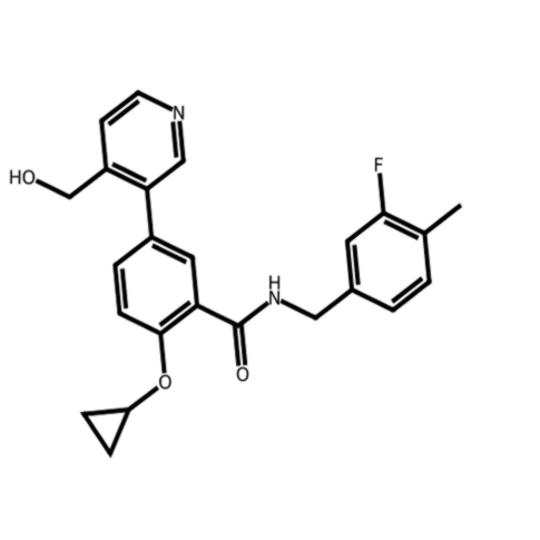 Cc1ccc(CNC(=O)c2cc(-c3cnccc3CO)ccc2OC2CC2)cc1F